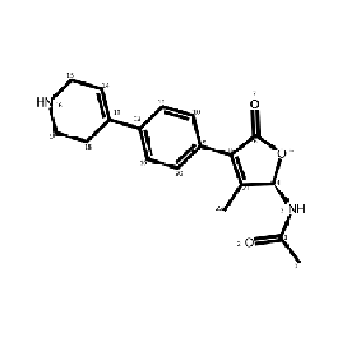 CC(=O)N[C@@H]1OC(=O)C(c2ccc(C3=CCNCC3)cc2)=C1C